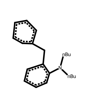 CCCCN(CCCC)c1ccccc1Cc1ccccc1